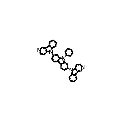 c1ccc(-n2c3cc(-n4c5ccccc5c5cnccc54)ccc3c3ccc(-n4c5ccccc5c5cnccc54)cc32)cc1